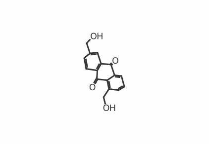 O=C1c2cc(CO)ccc2C(=O)c2c(CO)cccc21